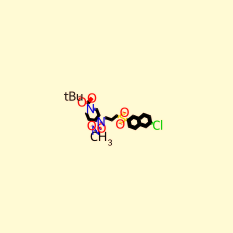 CN1ON(CCCS(=O)(=O)c2ccc3cc(Cl)ccc3c2)C2(CCN(C(=O)OC(C)(C)C)CC2)O1